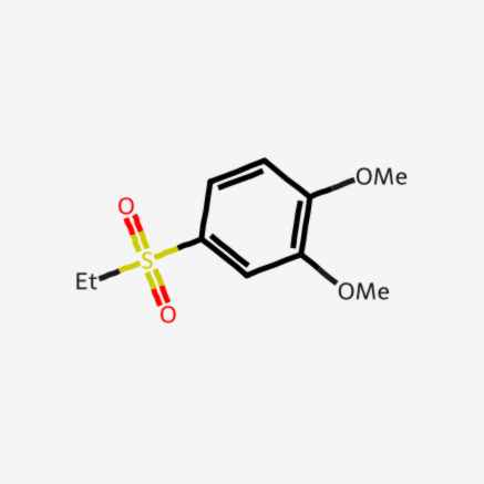 CCS(=O)(=O)c1ccc(OC)c(OC)c1